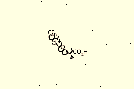 CC(c1nc(C(F)(F)F)ccc1Cl)N1CCC2(CCc3ccc([C@H](C4CC4)[C@H](C)C(=O)O)cc3O2)CC1